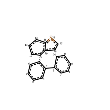 c1ccc(-c2ccccc2)cc1.c1ccc2sccc2c1